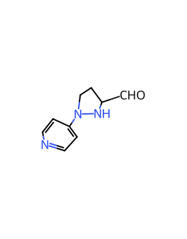 O=CC1CCN(c2ccncc2)N1